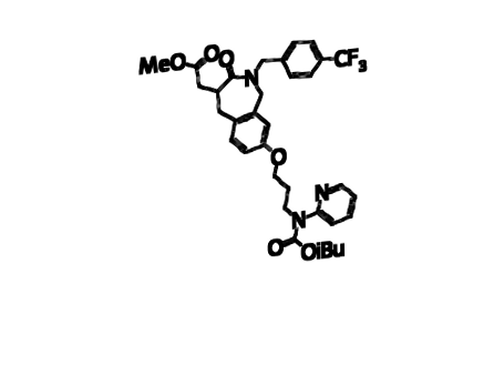 COC(=O)CC1Cc2ccc(OCCCN(C(=O)OCC(C)C)c3ccccn3)cc2CN(Cc2ccc(C(F)(F)F)cc2)C1=O